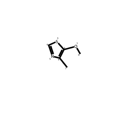 COc1s[c]nc1C